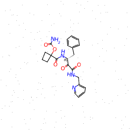 NC(=O)OC1(C(=O)N[C@H](Cc2ccccc2)C(=O)C(=O)NCc2ccccn2)CCC1